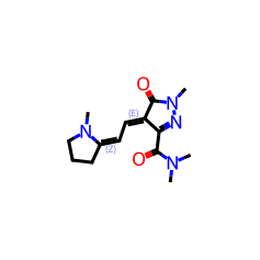 CN(C)C(=O)C1=NN(C)C(=O)/C1=C/C=C1/CCCN1C